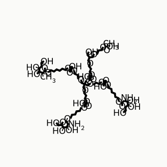 C[C@H]1C(O)[C@@H](O)C(CO)O[C@H]1OCCCCCCOP(=O)(O)OCCCOCC(COCCCOP(=O)(O)OCCCCCCO[C@@H]1OC(CO)[C@H](O)[C@H](O)C1N)(COCCCOP(=O)(O)OCCCCCCO[C@@H]1OC(CO)[C@H](O)[C@H](O)C1N)COP(=O)(O)OCCCOCC(CO)COCCCOP(C)(=O)O